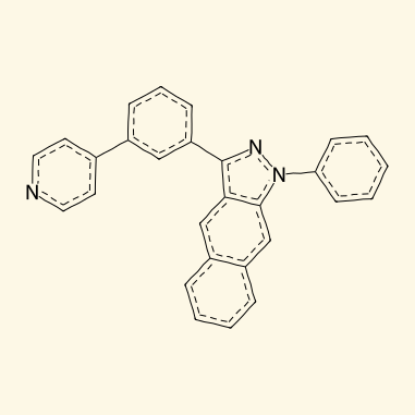 c1ccc(-n2nc(-c3cccc(-c4ccncc4)c3)c3cc4ccccc4cc32)cc1